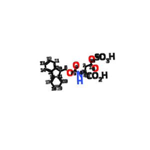 O=C(C[C@H](NC(=O)OCC1c2ccccc2-c2ccccc21)C(=O)O)OS(=O)(=O)O